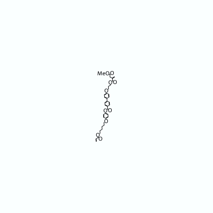 C=CC(=O)OCCCCCCOc1ccc(OC(=O)c2ccc(-c3ccc(OCCCOC(=O)C(=C)CC(=O)OC)cc3)cc2)cc1